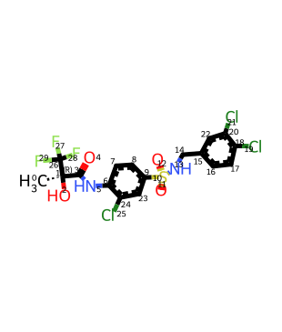 C[C@@](O)(C(=O)Nc1ccc(S(=O)(=O)NCc2ccc(Cl)c(Cl)c2)cc1Cl)C(F)(F)F